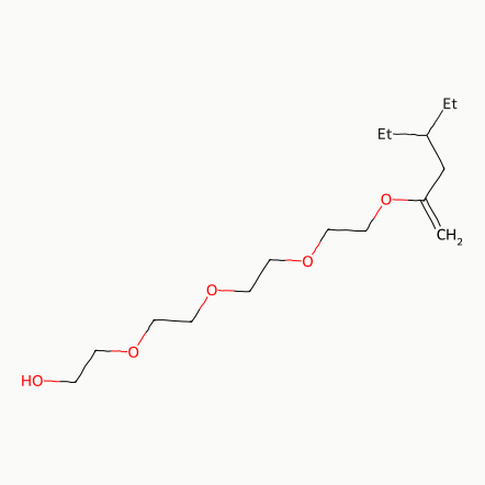 C=C(CC(CC)CC)OCCOCCOCCOCCO